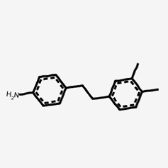 Cc1ccc(CCc2ccc(N)cc2)cc1C